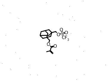 C=C(C)C(=O)OCC12CC3CC(C1)CC(COS(=O)(=O)C(F)(F)F)(C3)C2